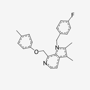 Cc1ccc(OCc2nccc3c(C)c(C)n(Cc4ccc(F)cc4)c23)cc1